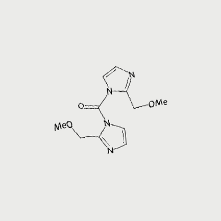 COCc1nccn1C(=O)n1ccnc1COC